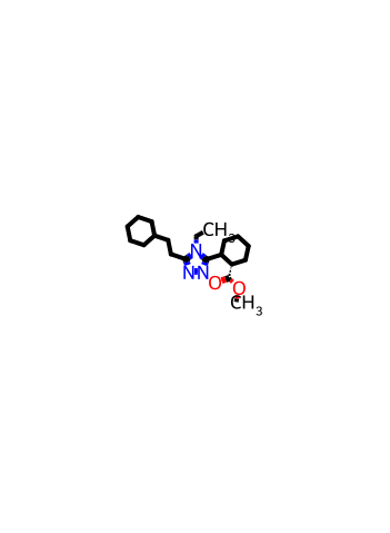 CCn1c(CCC2CCCCC2)nnc1C1CCCC[C@@H]1C(=O)OC